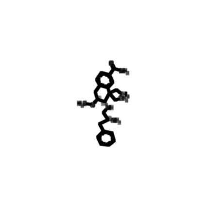 CCC1(CC)c2cc(C(N)=O)ccc2C[C@H](OC)[C@H]1NC[C@H](N)Cc1ccccc1